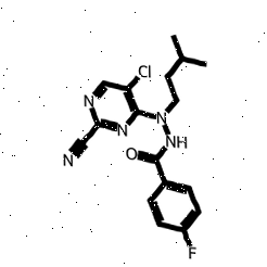 CC(C)CCN(NC(=O)c1ccc(F)cc1)c1nc(C#N)ncc1Cl